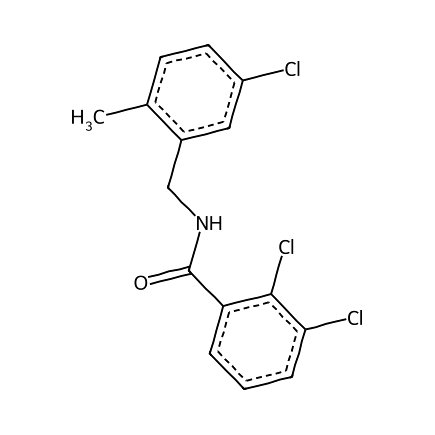 Cc1ccc(Cl)cc1CNC(=O)c1cccc(Cl)c1Cl